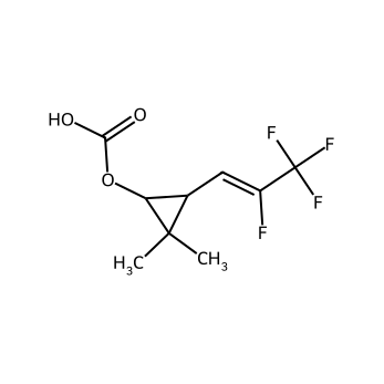 CC1(C)C(C=C(F)C(F)(F)F)C1OC(=O)O